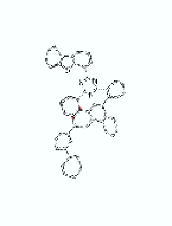 c1ccc(-c2cccc(-c3ccc4cc(-c5ccccc5-c5nc(-c6ccccc6)nc(-c6cccc7c6sc6ccccc67)n5)c5ccccc5c4c3)c2)cc1